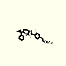 COC=Cc1ccc(-c2nc3ccc(C4(c5ccccc5)C=C4)nc3s2)c(F)c1